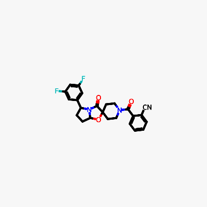 N#Cc1ccccc1C(=O)N1CCC2(CC1)OC1CCC(c3cc(F)cc(F)c3)N1C2=O